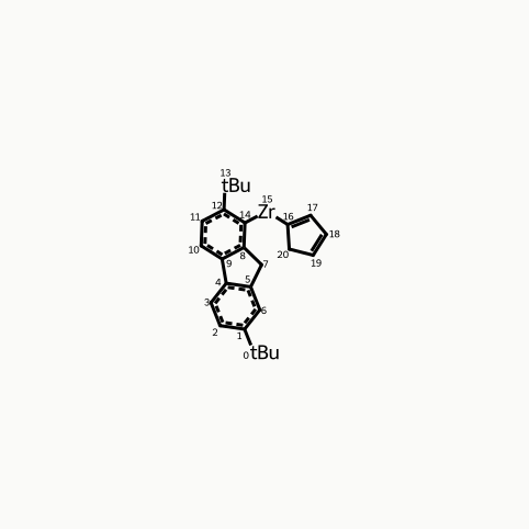 CC(C)(C)c1ccc2c(c1)Cc1c-2ccc(C(C)(C)C)[c]1[Zr][C]1=CC=CC1